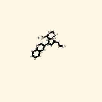 Nc1ncnn2c(CC=O)cc(-c3cnc4ccccc4c3)c12